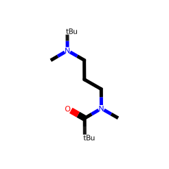 CN(CCCN(C)C(C)(C)C)C(=O)C(C)(C)C